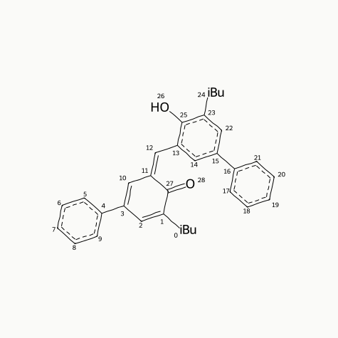 CCC(C)C1=CC(c2ccccc2)=CC(=Cc2cc(-c3ccccc3)cc(C(C)CC)c2O)C1=O